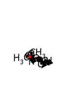 COc1cc2nccc(Oc3ccc(NC(=O)C4(C(=O)N5CC6CC6C5)CC4)cc3)c2cc1OC